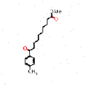 COC(=O)CCCCCCCCC(=O)c1ccc(C)cc1